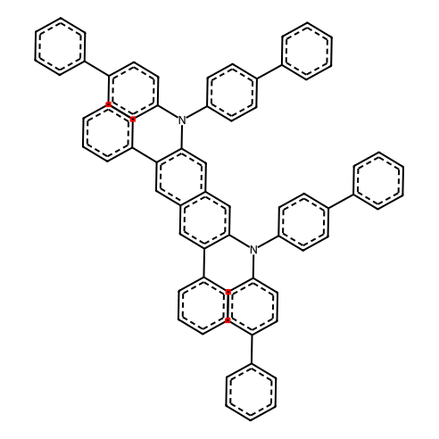 c1ccc(-c2ccc(N(c3ccc(-c4ccccc4)cc3)c3cc4cc(N(c5ccc(-c6ccccc6)cc5)c5ccc(-c6ccccc6)cc5)c(-c5ccccc5)cc4cc3-c3ccccc3)cc2)cc1